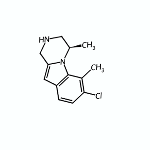 Cc1c(Cl)ccc2cc3n(c12)[C@H](C)CNC3